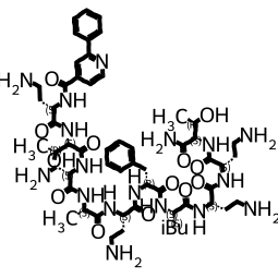 CC[C@H](C)[C@H](NC(=O)[C@@H](Cc1ccccc1)NC(=O)[C@H](CCN)NC(=O)[C@H](C)NC(=O)[C@H](CN)NC(=O)[C@@H](NC(=O)[C@H](CCN)NC(=O)c1ccnc(-c2ccccc2)c1)[C@@H](C)O)C(=O)N[C@@H](CCN)C(=O)N[C@@H](CCN)C(=O)N[C@H](C(N)=O)[C@@H](C)O